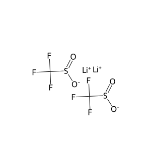 O=S([O-])C(F)(F)F.O=S([O-])C(F)(F)F.[Li+].[Li+]